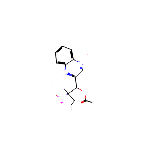 CCC(C)(C(OC(C)=O)c1c[n+]([O-])c2ccccc2[n+]1[O-])[N+](=O)[O-]